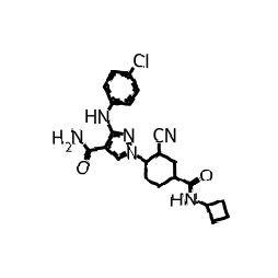 N#CC1CC(C(=O)NC2CCC2)CCC1n1cc(C(N)=O)c(Nc2ccc(Cl)cc2)n1